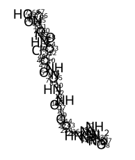 Cc1c(NC(=O)c2ccc(CNCCNC(=O)CCCOc3ccc(CCNc4nc(N)n5nc(-c6ccco6)nc5n4)cc3)cn2)cccc1-c1cccc(NC(=O)c2ccc(CN3CCCC[C@H]3C(=O)O)cn2)c1Cl